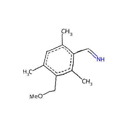 COCc1c(C)cc(C)c(C=N)c1C